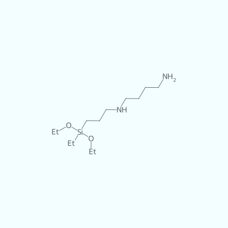 CCO[Si](CC)(CCCNCCCCN)OCC